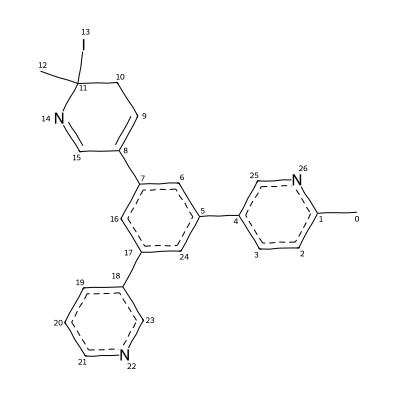 Cc1ccc(-c2cc(C3=CCC(C)(I)N=C3)cc(-c3cccnc3)c2)cn1